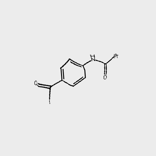 CC(C)C(=O)Nc1ccc(C(=O)I)cc1